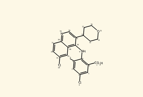 Cc1cc(Cl)cc(C(=O)O)c1Nc1c(C2CCOCC2)cnc2ccc(Cl)cc12